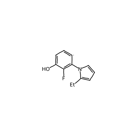 CCc1cccn1-c1[c]ccc(O)c1F